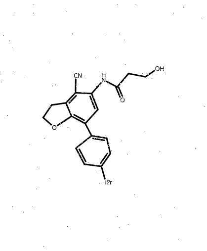 CC(C)c1ccc(-c2cc(NC(=O)CCO)c(C#N)c3c2OCC3)cc1